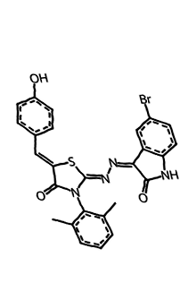 Cc1cccc(C)c1N1C(=O)C(=Cc2ccc(O)cc2)SC1=NN=C1C(=O)Nc2ccc(Br)cc21